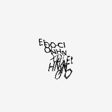 CCOc1ccc(Cl)cc1C(=O)NCC(C)(C)CC(=O)Nc1c(CCN(C)C)n(CC)n(-c2ccccc2)c1=O